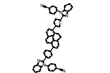 N#Cc1ccc(-n2c(-c3ccc(-c4ccc5ccc6c(-c7ccc(-c8nc9ccccc9n8-c8ccc(C#N)cc8)cc7)ccc7ccc4c5c76)cc3)nc3ccccc32)cc1